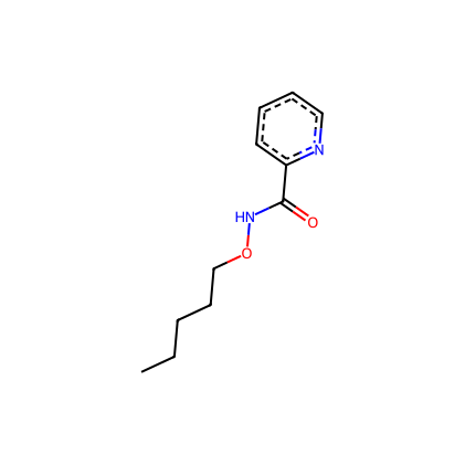 CCCCCONC(=O)c1ccccn1